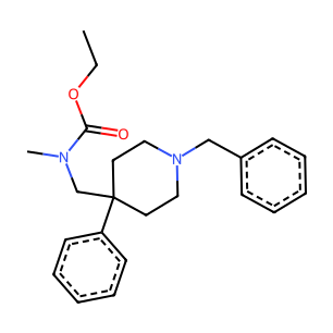 CCOC(=O)N(C)CC1(c2ccccc2)CCN(Cc2ccccc2)CC1